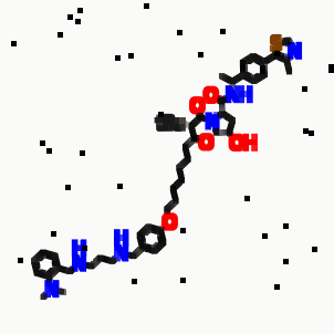 Cc1ncsc1-c1ccc(C(C)NC(=O)C2CC(O)CN2C(=O)[C@H](C(=O)CCCCCCCOc2ccc(CNCCCNCc3ccccc3N(C)C)cc2)C(C)(C)C)cc1